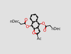 CCCCCCCCCCCC(=O)Oc1c2ccccc2c(OC(=O)CCCCCCCCCCC)c2oc(C(C)=O)cc12